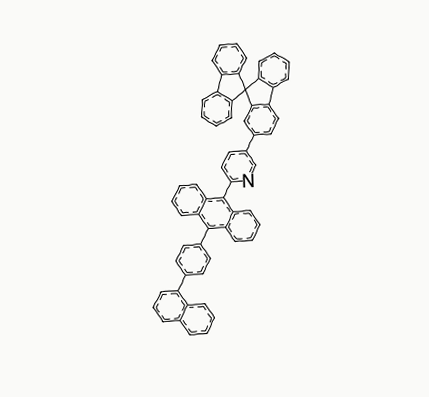 c1ccc2c(c1)-c1ccccc1C21c2ccccc2-c2ccc(-c3ccc(-c4c5ccccc5c(-c5ccc(-c6cccc7ccccc67)cc5)c5ccccc45)nc3)cc21